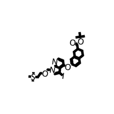 CC(C)(C)OC(=O)C1CCc2ccc(Oc3ccnc4c3c(I)cn4COCCS(C)(C)C)cc2C1